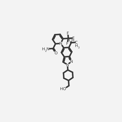 C=C(C)c1cc2nn(C3CCC(CO)CC3)cc2cc1N1C(C(F)(F)F)=CC=CC1C(N)=O